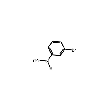 CCCN(CC)c1cccc(Br)c1